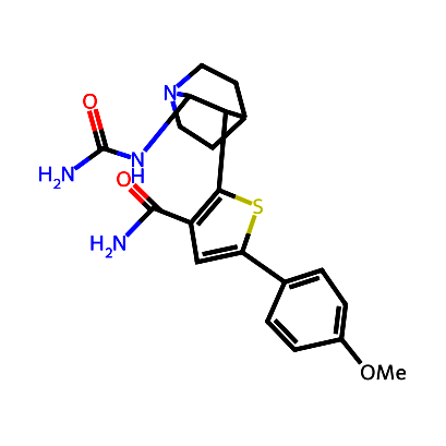 COc1ccc(-c2cc(C(N)=O)c(C3C4CCN(CC4)C3NC(N)=O)s2)cc1